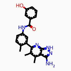 Cc1ccc(NC(=O)c2cccc(O)c2)cc1-c1nc2[nH]nc(N)c2c(C)c1C